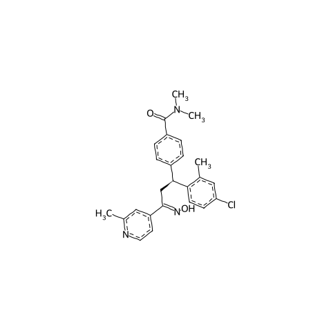 Cc1cc(/C(C[C@@H](c2ccc(C(=O)N(C)C)cc2)c2ccc(Cl)cc2C)=N/O)ccn1